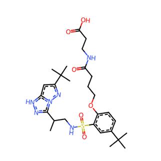 CC(CNS(=O)(=O)c1cc(C(C)(C)C)ccc1OCCCC(=O)NCCC(=O)O)c1n[nH]c2cc(C(C)(C)C)nn12